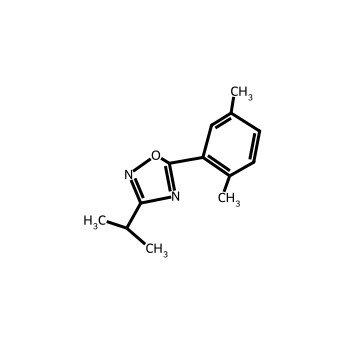 Cc1ccc(C)c(-c2nc(C(C)C)no2)c1